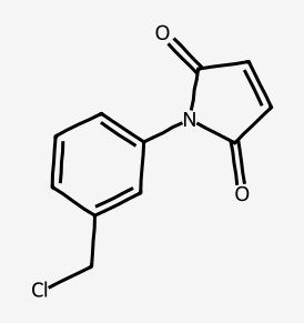 O=C1C=CC(=O)N1c1cccc(CCl)c1